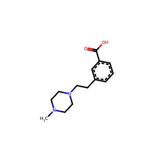 CN1CCN(CCc2cccc(C(=O)O)c2)CC1